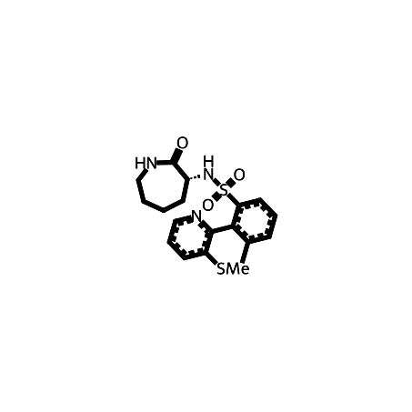 CSc1cccnc1-c1c(C)cccc1S(=O)(=O)N[C@@H]1CCCCNC1=O